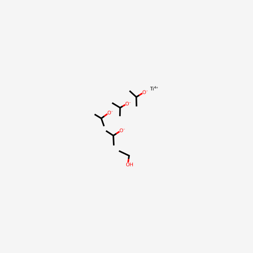 CC(C)[O-].CC(C)[O-].CC(C)[O-].CC(C)[O-].CCO.[Ti+4]